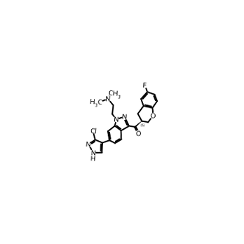 CN(C)CCn1nc(C(=O)[C@@H]2COc3ccc(F)cc3C2)c2ccc(-c3c[nH]nc3Cl)cc21